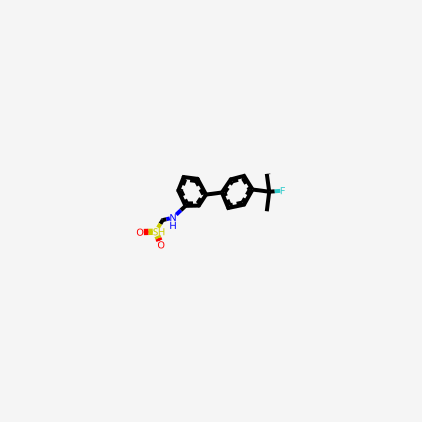 [CH2]C(C)(F)c1ccc(-c2cccc(NC[SH](=O)=O)c2)cc1